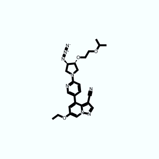 CCOc1cc(-c2ccc(N3C[C@@H](N=[N+]=[N-])[C@H](OCCOC(C)C)C3)nc2)c2c(C#N)cnn2c1